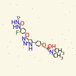 CCN(CC)C[C@H](O)COc1ccc(-c2cc3c(Oc4ccc(NC(=O)NC5CC5)c(F)c4)ncnc3[nH]2)cc1